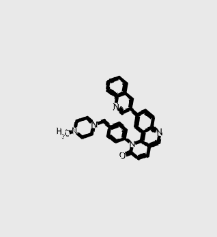 CN1CCN(Cc2ccc(-n3c(=O)ccc4cnc5ccc(-c6cnc7ccccc7c6)cc5c43)cc2)CC1